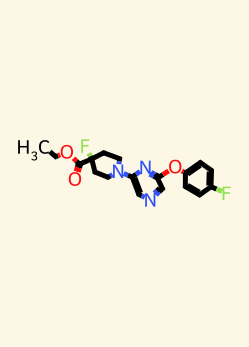 CCOC(=O)C1(F)CCN(c2cncc(Oc3ccc(F)cc3)n2)CC1